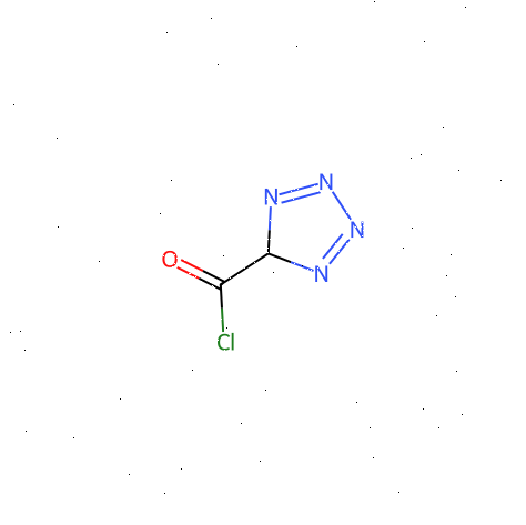 O=C(Cl)C1N=NN=N1